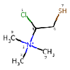 C[N+](C)(C)C(Cl)CS